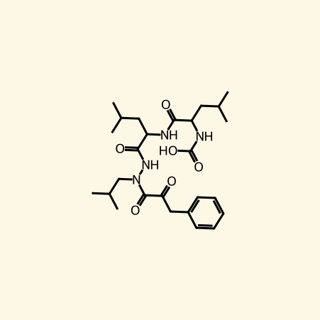 CC(C)CC(NC(=O)O)C(=O)NC(CC(C)C)C(=O)NN(CC(C)C)C(=O)C(=O)Cc1ccccc1